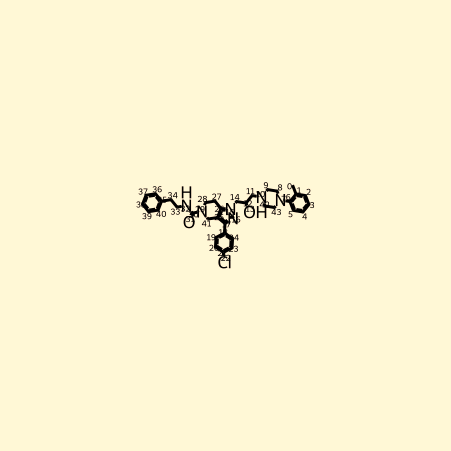 Cc1ccccc1N1CCN(CC(O)Cn2nc(-c3ccc(Cl)cc3)c3c2CCN(C(=O)NCCc2ccccc2)C3)CC1